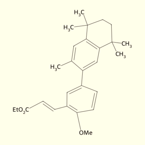 CCOC(=O)C=Cc1cc(-c2cc3c(cc2C)C(C)(C)CCC3(C)C)ccc1OC